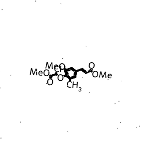 COC(=O)/C=C/c1cc(C)c(OC(C)C(=O)OC)c(OC)c1